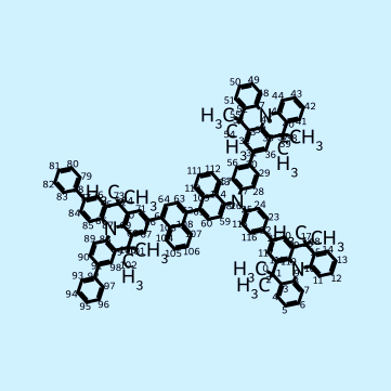 CC1(C)c2ccccc2N2c3ccccc3C(C)(C)c3cc(-c4ccc(N(c5ccc(-c6cc7c8c(c6)C(C)(C)c6ccccc6N8c6ccccc6C7(C)C)cc5)c5ccc(-c6ccc(-c7cc8c9c(c7)C(C)(C)c7cc(-c%10ccccc%10)ccc7N9c7ccc(-c9ccccc9)cc7C8(C)C)c7ccccc67)c6ccccc56)cc4)cc1c32